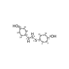 Oc1ccc(S[SH]=[SH]c2ccc(O)cc2)cc1